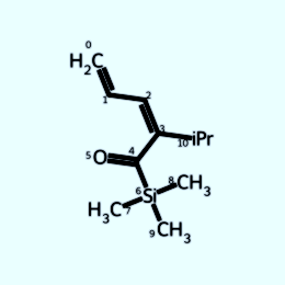 C=CC=C(C(=O)[Si](C)(C)C)C(C)C